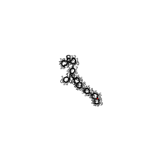 c1ccc(N(c2ccc(-c3cccc4sc5ccccc5c34)cc2)c2ccc3cc(-c4ccc(-c5ccc6ccccc6c5)cc4)ccc3c2)cc1